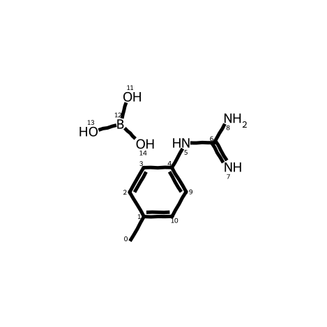 Cc1ccc(NC(=N)N)cc1.OB(O)O